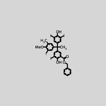 COc1c(C)cc(C(C)(c2cc(I)c(O)c(I)c2)c2cc(I)c(O)c(C(=O)OCc3ccccc3)c2)cc1I